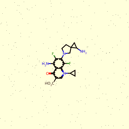 Nc1c(F)c(N2CCC3(CC3N)C2)c(F)c2c1c(=O)c(C(=O)O)cn2C1CC1